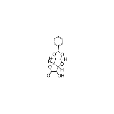 O=C1O[C@@H]2[C@H]3O[C@@H](c4ccccc4)O[C@H]3O[C@@H]2[C@H]1O